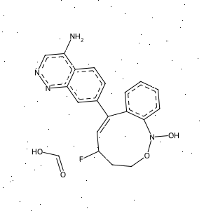 Nc1cnnc2cc(C3=CC(F)CCON(O)c4ccccc43)ccc12.O=CO